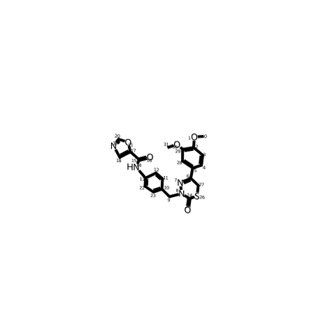 COc1ccc(C2=NN(Cc3ccc(NC(=O)c4cnco4)cc3)C(=O)SC2)cc1OC